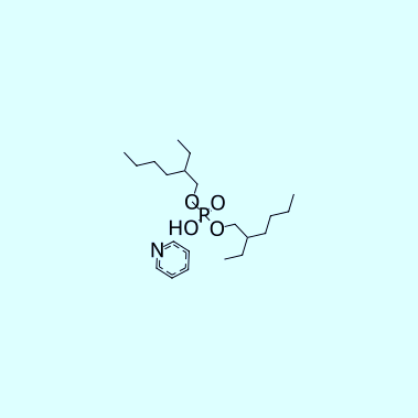 CCCCC(CC)COP(=O)(O)OCC(CC)CCCC.c1ccncc1